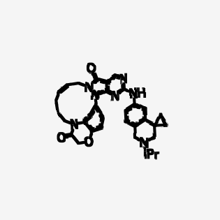 CC(C)N1Cc2ccc(Nc3ncc4c(=O)n5n(c4n3)-c3ccc4c(c3)N(CCC/C=C\C5)C(=O)CO4)cc2C2(CC2)C1